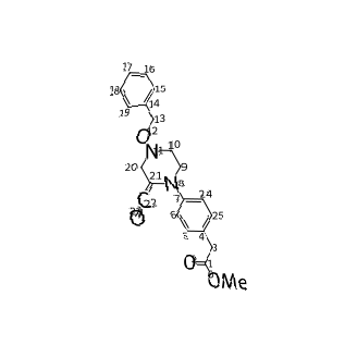 COC(=O)Cc1ccc(N2CCN(OCc3ccccc3)CC2=C=O)cc1